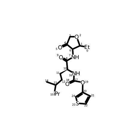 CCC1OCC(=O)C1NC(=O)[C@H](CCC(C)C(C)C)NC(=O)Oc1ccsc1